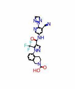 N#Cc1cc(NC(=O)c2cnn(-c3cccc4c3CCN(C(=O)O)C4)c2C(F)(F)F)cnc1-n1nccn1